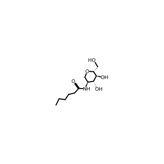 CCCCCC(=O)N[C@H]1[CH]O[C@H](CO)[C@@H](O)[C@@H]1O